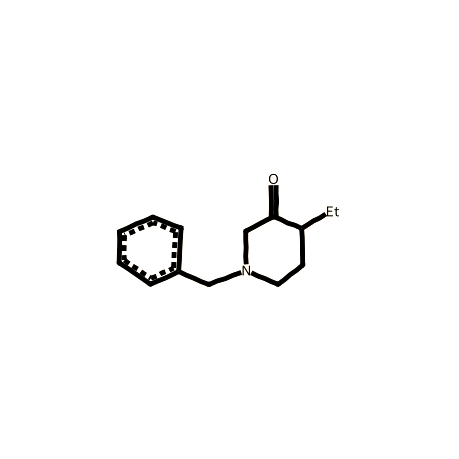 CCC1CCN(Cc2ccccc2)CC1=O